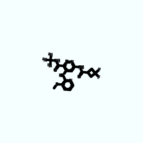 [2H]C([2H])([2H])NC(=O)c1nnc(NC(=O)C2CC(F)(F)C2)cc1Nc1ncccc1SC